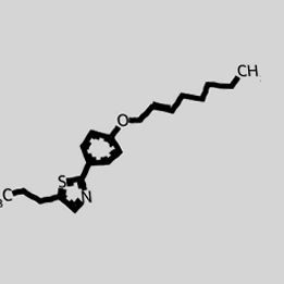 CCCCC/C=C/COc1ccc(-c2ncc(CCC)s2)cc1